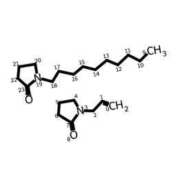 C=CCN1CCCC1=O.CCCCCCCCCCN1CCCC1=O